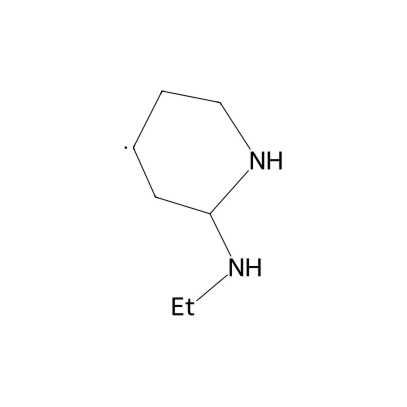 CCNC1C[CH]CCN1